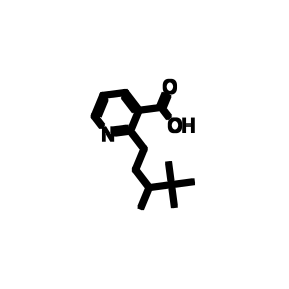 CC(CCc1ncccc1C(=O)O)C(C)(C)C